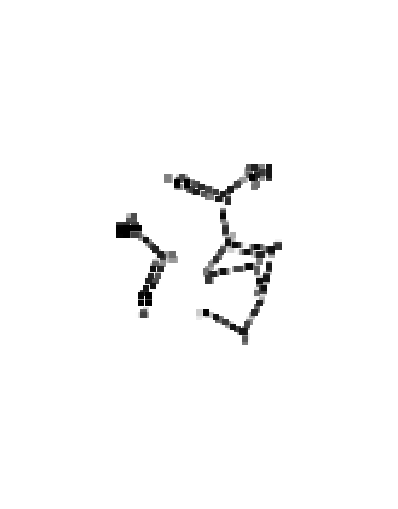 O=C(O)C1=CC2CCC1C2.O=CO